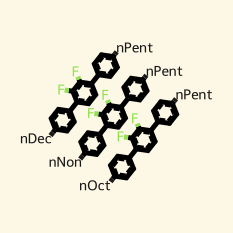 CCCCCCCCCCc1ccc(-c2ccc(-c3ccc(CCCCC)cc3)c(F)c2F)cc1.CCCCCCCCCc1ccc(-c2ccc(-c3ccc(CCCCC)cc3)c(F)c2F)cc1.CCCCCCCCc1ccc(-c2ccc(-c3ccc(CCCCC)cc3)c(F)c2F)cc1